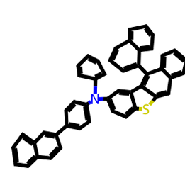 c1ccc(N(c2ccc(-c3ccc4ccccc4c3)cc2)c2ccc3sc4cc5ccccc5c(-c5cccc6ccccc56)c4c3c2)cc1